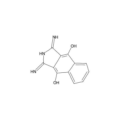 N=C1NC(=N)c2c1c(O)c1ccccc1c2O